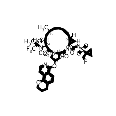 C[C@@H]1CCC=C[C@@H]2C[C@@]2(C(=O)NS(=O)(=O)C2(CF)CC2)NC(=O)[C@@H]2C[C@@H](Oc3nccc4c5c(ccc34)CCCO5)CN2C(=O)[C@@H](N(C(=O)O)C(C)(C)C(F)(F)F)[C@H](C)C1